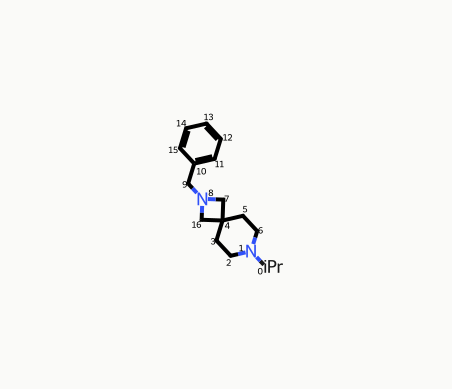 CC(C)N1CCC2(CC1)CN(Cc1ccccc1)C2